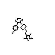 Cc1nn(C)c(C)c1CCN1CCN(c2nccnc2-c2ccc(F)cc2)CC1